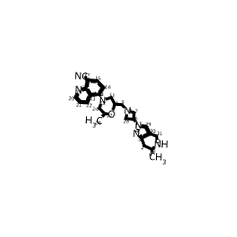 CC1Cc2nn(C3CN(CC4CN(c5ccc(C#N)c6ncccc56)CC(C)O4)C3)cc2CN1